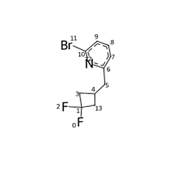 FC1(F)CC(Cc2cccc(Br)n2)C1